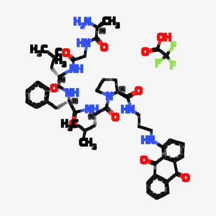 CC(C)C[C@H](NC(=O)CNC(=O)[C@H](C)N)C(=O)N[C@@H](Cc1ccccc1)C(=O)N[C@@H](CC(C)C)C(=O)N1CCC[C@H]1C(=O)NCCCNc1cccc2c1C(=O)c1ccccc1C2=O.O=C(O)C(F)(F)F